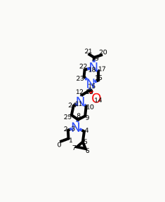 CCCN(CC1CC1)C1CCN(CC(=O)N2CCN(C(C)C)CC2)CC1